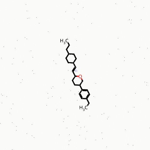 CCCC1CCC(/C=C/C2CCC(c3ccc(CC)cc3)CO2)CC1